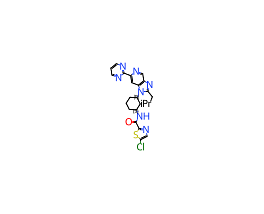 CC(C)Cc1nc2cnc(-c3ncccn3)cc2n1[C@@H]1CCC[C@H](NC(=O)c2ncc(Cl)s2)C1